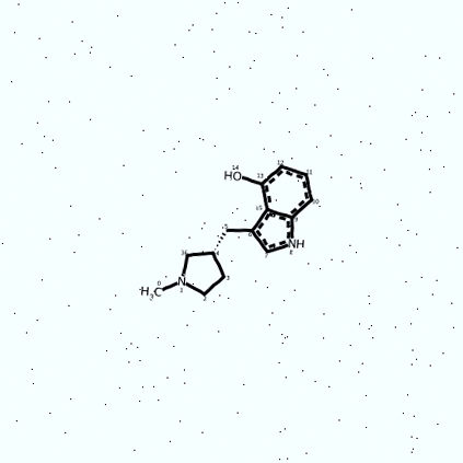 CN1CC[C@@H](Cc2c[nH]c3cccc(O)c23)C1